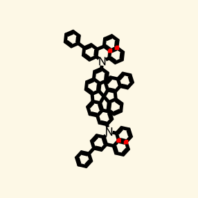 c1ccc(-c2ccc(N(c3ccccc3)c3ccc4c5c(ccc4c3)-c3ccc4cc(N(c6ccccc6)c6ccc(-c7ccccc7)cc6-c6ccccc6)ccc4c3C53c4ccccc4-c4c3ccc3ccccc43)c(-c3ccccc3)c2)cc1